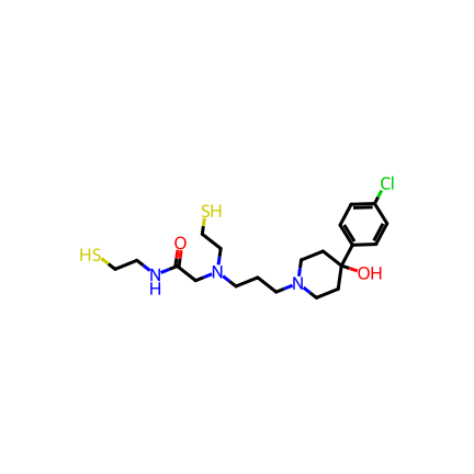 O=C(CN(CCS)CCCN1CCC(O)(c2ccc(Cl)cc2)CC1)NCCS